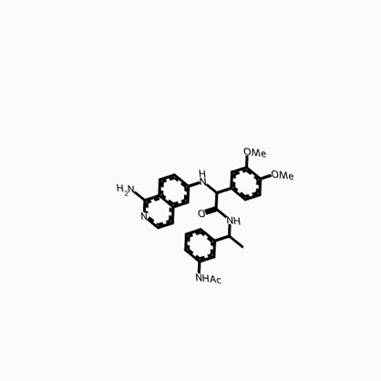 COc1ccc(C(Nc2ccc3c(N)nccc3c2)C(=O)NC(C)c2cccc(NC(C)=O)c2)cc1OC